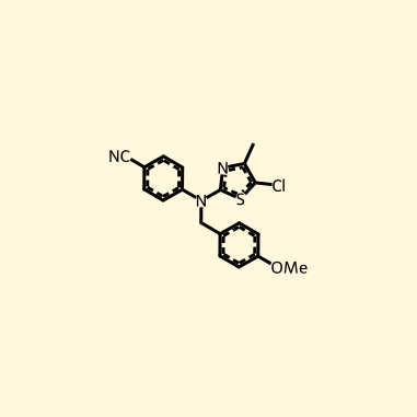 COc1ccc(CN(c2ccc(C#N)cc2)c2nc(C)c(Cl)s2)cc1